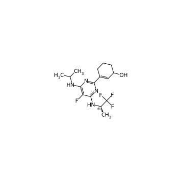 CC(C)Nc1nc(C2=CC(O)CCC2)nc(N[C@H](C)C(F)(F)F)c1F